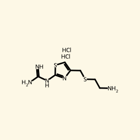 Cl.Cl.N=C(N)Nc1nc(CSCCN)cs1